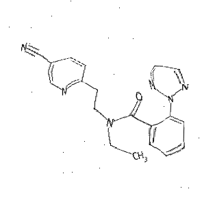 CCN(CCc1ccc(C#N)cn1)C(=O)c1ccccc1-n1nccn1